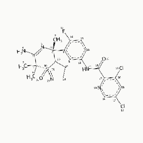 CC1(C)C(N)=N[C@](C)(c2cc(NC(=O)c3ncc(Cl)cc3Cl)ccc2F)C2CCN=[S@@]21=O